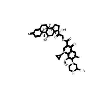 COc1c(N2CCNC(C)C2)c(F)cc2c(=O)c(C(=O)OCC(=O)[C@]3(O)CC[C@@H]4[C@H]5CCC6=CC(=O)C=C[C@@]6(C)[C@@H]5[C@H](O)C[C@]43C)cn(C3CC3)c12